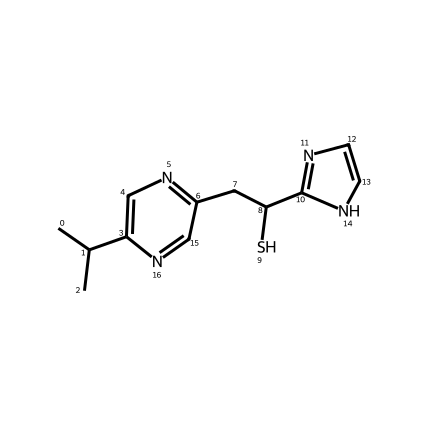 CC(C)c1cnc(CC(S)c2ncc[nH]2)cn1